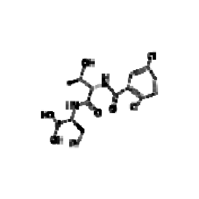 CC(C)C[C@H](NC(=O)[C@@H](NC(=O)c1cc(Cl)ccc1Cl)[C@@H](C)O)B(O)O